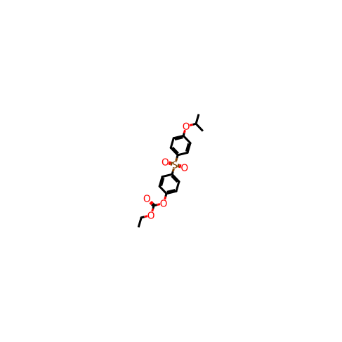 CCOC(=O)Oc1ccc(S(=O)(=O)c2ccc(OC(C)C)cc2)cc1